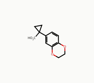 O=C(O)C1(c2ccc3c(c2)OCCO3)CC1